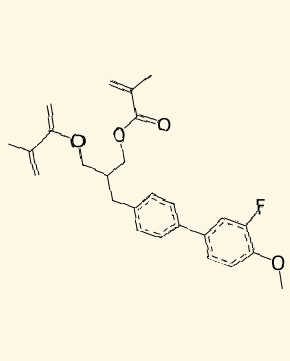 C=C(C)C(=C)OCC(COC(=O)C(=C)C)Cc1ccc(-c2ccc(OC)c(F)c2)cc1